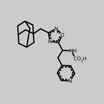 O=C(O)NC(Cc1ccncc1)c1nc(CC23CC4CC(CC(C4)C2)C3)no1